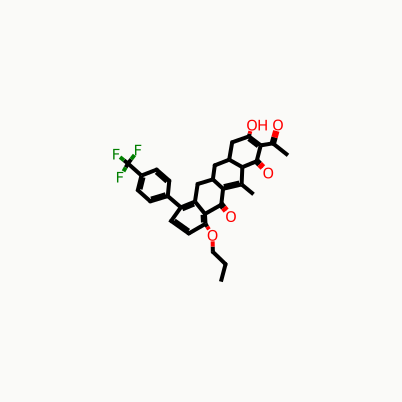 CCCOc1ccc(-c2ccc(C(F)(F)F)cc2)c2c1C(=O)C1=C(C)C3C(=O)C(C(C)=O)=C(O)CC3CC1C2